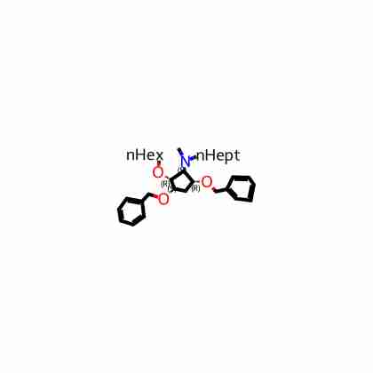 CCCCCCCN(C)[C@@H]1[C@@H](OCCCCCC)[C@@H](OCc2ccccc2)C[C@H]1OCc1ccccc1